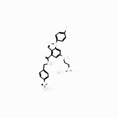 CNS(=O)(=O)c1ccc(CNC(=O)c2cc(NCCN(C)C)cc3c2cnn3-c2ccc(F)cc2)cc1